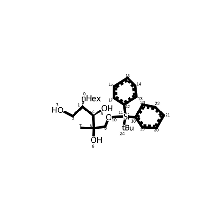 CCCCCC[C@@H](CO)[C@@H](O)C(C)(O)CO[Si](c1ccccc1)(c1ccccc1)C(C)(C)C